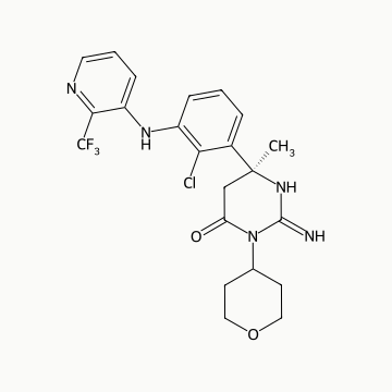 C[C@@]1(c2cccc(Nc3cccnc3C(F)(F)F)c2Cl)CC(=O)N(C2CCOCC2)C(=N)N1